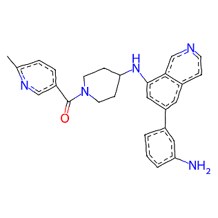 Cc1ccc(C(=O)N2CCC(Nc3cc(-c4cccc(N)c4)cc4ccncc34)CC2)cn1